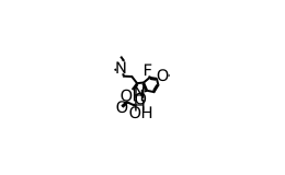 CCN(C)CCc1c[nH]c2ccc(OC)c(F)c12.O=C(O)C(=O)O